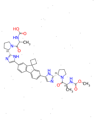 COC(=O)N[C@@H](C)C(=O)N1CCC[C@H]1c1ncc(-c2ccc3c(c2)C2(CCC2)c2cc(-c4cnc([C@@H]5CCCN5C(=O)C(C)NC(=O)O)[nH]4)ccc2-3)[nH]1